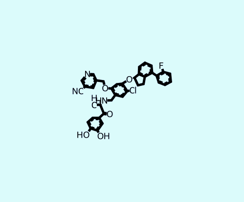 CC(NCc1cc(Cl)c(O[C@H]2CCc3c(-c4ccccc4F)cccc32)cc1OCc1cncc(C#N)c1)C(=O)c1ccc(O)c(O)c1